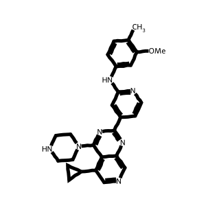 COc1cc(Nc2cc(-c3nc(N4CCNCC4)c4c(C5CC5)cncc4n3)ccn2)ccc1C